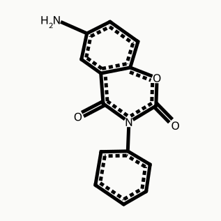 Nc1ccc2oc(=O)n(-c3ccccc3)c(=O)c2c1